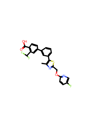 Cc1nc(COc2ccc(F)cn2)sc1-c1cccc(-c2ccc(C(=O)O)c(C(F)F)c2)c1